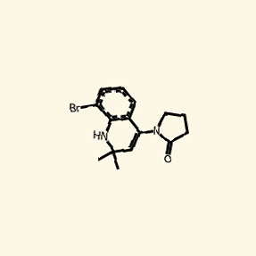 CC1(C)C=C(N2CCCC2=O)c2cccc(Br)c2N1